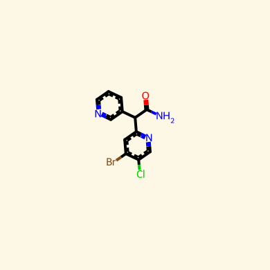 NC(=O)C(c1cccnc1)c1cc(Br)c(Cl)cn1